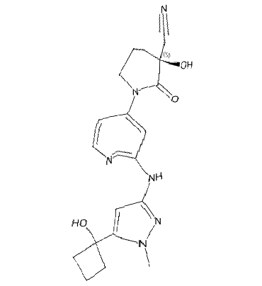 Cn1nc(Nc2cc(N3CC[C@](O)(C#N)C3=O)ccn2)cc1C1(O)CCC1